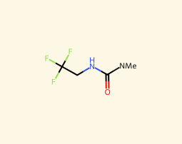 CNC(=O)NCC(F)(F)F